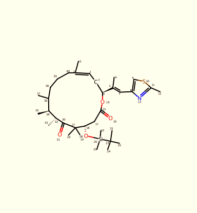 C/C1=C/C[C@@H](/C(C)=C/c2csc(C)n2)OC(=O)C[C@H](O[Si](C)(C)C(C)(C)C)C(C)(C)C(=O)[C@H](C)[C@@H](C)C(C)CCC1